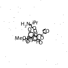 COC(=O)[C@@H]1C[C@H](OC(=O)[C@H](N)C(C)C)C(=O)[C@H]2[C@@]1(C)CC[C@H]1C(=O)O[C@@H](c3ccoc3)C[C@]21C